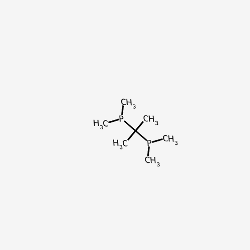 CP(C)C(C)(C)P(C)C